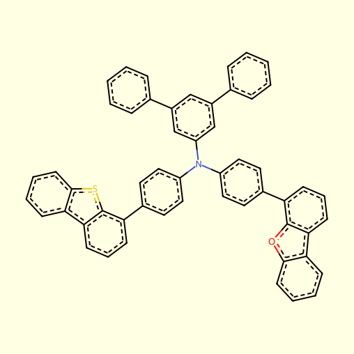 c1ccc(-c2cc(-c3ccccc3)cc(N(c3ccc(-c4cccc5c4oc4ccccc45)cc3)c3ccc(-c4cccc5c4sc4ccccc45)cc3)c2)cc1